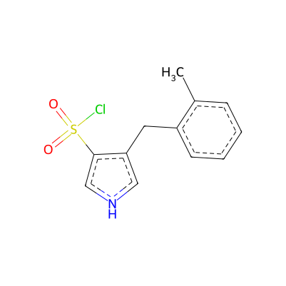 Cc1ccccc1Cc1c[nH]cc1S(=O)(=O)Cl